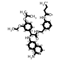 CCCC(=O)Nc1cccc(CNC(=O)C(Nc2ccc3c(N)nccc3c2)c2ccc(OC(C)C)c(OCC)c2)c1